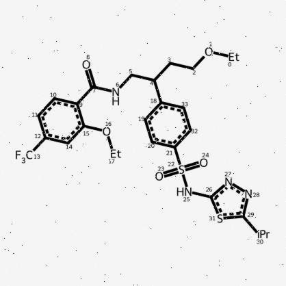 CCOCCC(CNC(=O)c1ccc(C(F)(F)F)cc1OCC)c1ccc(S(=O)(=O)Nc2nnc(C(C)C)s2)cc1